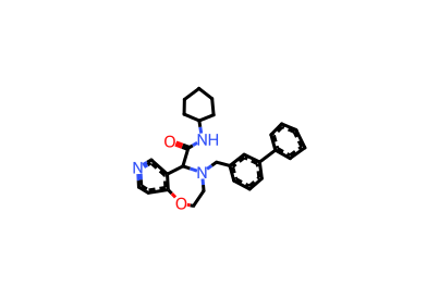 O=C(NC1CCCCC1)C1c2cnccc2OCCN1Cc1cccc(-c2ccccc2)c1